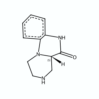 O=C1Nc2ccccc2N2CCNC[C@@H]12